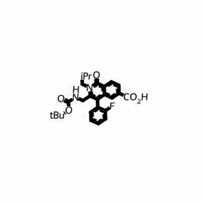 CC(C)Cn1c(CNC(=O)OC(C)(C)C)c(-c2ccccc2F)c2cc(C(=O)O)ccc2c1=O